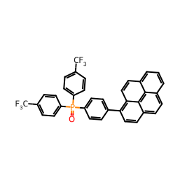 O=P(c1ccc(-c2ccc3ccc4cccc5ccc2c3c45)cc1)(c1ccc(C(F)(F)F)cc1)c1ccc(C(F)(F)F)cc1